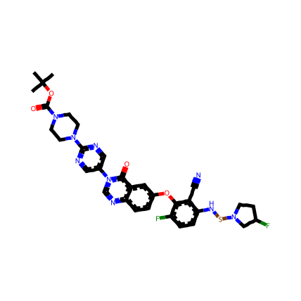 CC(C)(C)OC(=O)N1CCN(c2ncc(-n3cnc4ccc(Oc5c(F)ccc(NSN6CCC(F)C6)c5C#N)cc4c3=O)cn2)CC1